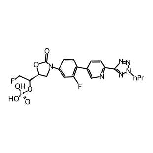 CCCn1nnc(-c2ccc(-c3ccc(N4C[C@@H](C(CF)OP(=O)(O)O)OC4=O)cc3F)cn2)n1